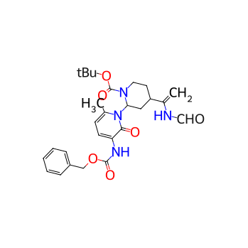 C=C(NC=O)C1CCN(C(=O)OC(C)(C)C)C(n2c(C)ccc(NC(=O)OCc3ccccc3)c2=O)C1